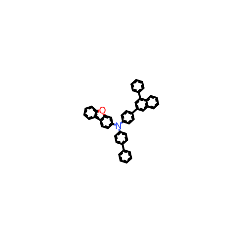 c1ccc(-c2ccc(N(c3ccc(-c4cc(-c5ccccc5)c5ccccc5c4)cc3)c3ccc4c(c3)oc3ccccc34)cc2)cc1